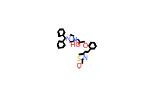 COCc1nc(C=Cc2ccccc2OCC(O)CN2CCN(C(c3ccccc3)c3ccccc3)CC2)cs1